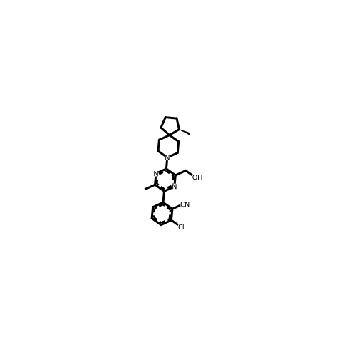 Cc1nc(N2CCC3(CCC[C@H]3C)CC2)c(CO)nc1-c1cccc(Cl)c1C#N